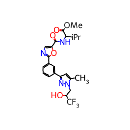 COC(=O)C(NC(=O)c1cnc(-c2cccc(-c3cc(C)n(CC(O)C(F)(F)F)n3)c2)o1)C(C)C